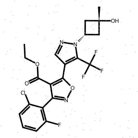 CCOC(=O)c1c(-c2c(F)cccc2Cl)noc1-c1cnn([C@H]2C[C@@](C)(O)C2)c1C(F)(F)F